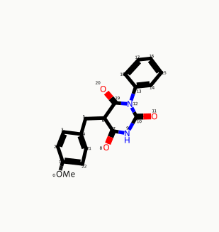 COc1ccc(CC2C(=O)NC(=O)N(c3ccccc3)C2=O)cc1